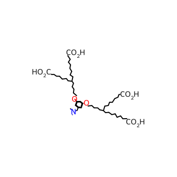 CN(C)Cc1cc(OCCCCCC(CCCCCCCCC(=O)O)CCCCCCCC(=O)O)cc(OCCCCCC(CCCCCCCCC(=O)O)CCCCCCCC(=O)O)c1